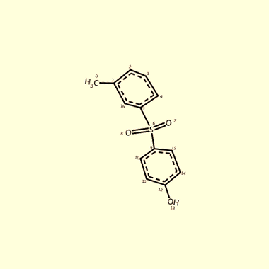 Cc1cccc(S(=O)(=O)c2ccc(O)cc2)c1